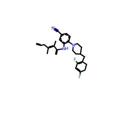 C=CC/C(C)=C(\C)C(=C)Nc1cc(C#N)ccc1N1CCC(CC2=C(F)C=C(F)CC2)CC1